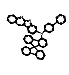 c1ccc(-c2ccc(N(c3ccc4c(c3)sc3nc5ccccc5cc34)c3cccc4c3-c3ccccc3C43c4ccccc4-c4ccccc43)cc2)cc1